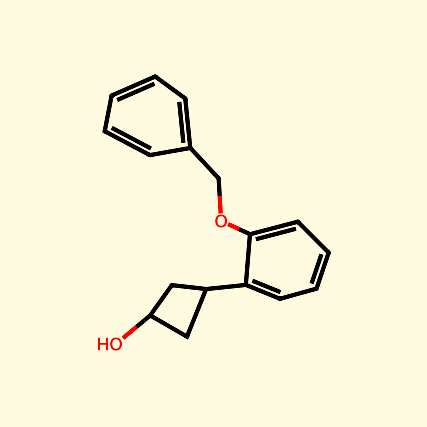 OC1CC(c2ccccc2OCc2ccccc2)C1